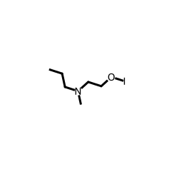 CCCN(C)CCOI